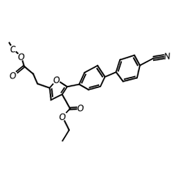 CCOC(=O)CCc1cc(C(=O)OCC)c(-c2ccc(-c3ccc(C#N)cc3)cc2)o1